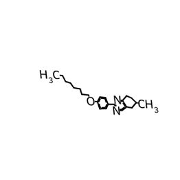 CCCCCCCCOc1ccc(-c2ncc3c(n2)CCC(C)C3)cc1